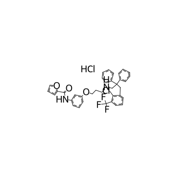 Cl.O=C(Nc1cccc(OCCCNCC(Cc2cccc(C(F)(F)F)c2Cl)(c2ccccc2)c2ccccc2)c1)c1ccco1